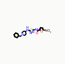 O=C(Nc1nnc(NC2CCN(Cc3ccccc3)CC2)s1)c1ccc([N+](=O)[O-])o1